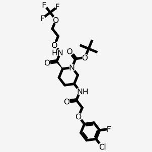 CC(C)(C)OC(=O)N1CC(NC(=O)COc2ccc(Cl)c(F)c2)CC[C@H]1C(=O)NOCCOC(F)(F)F